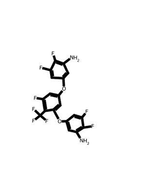 Nc1cc(Oc2cc(F)c(C(F)(F)F)c(Oc3cc(N)c(F)c(F)c3)c2)cc(F)c1F